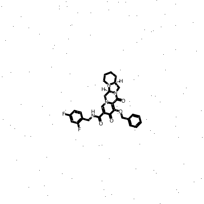 O=C(NCc1ccc(F)cc1F)c1cn2c(c(OCc3ccccc3)c1=O)C(=O)N1C[C@@H]3CCCCN3[C@@H]1C2